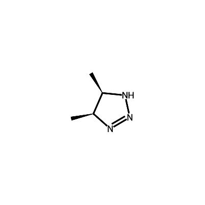 C[C@@H]1N=NN[C@@H]1C